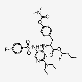 CCCC(F)OC(=O)C(Cc1ccc(OC(=O)N(C)C)cc1)Nc1nc(N(CC)CC)ncc1NS(=O)(=O)c1ccc(F)cc1